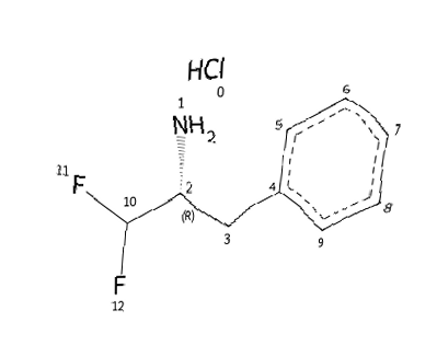 Cl.N[C@H](Cc1ccccc1)C(F)F